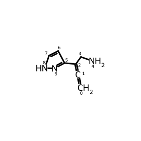 C=C=C(CN)c1cc[nH]n1